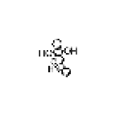 O=C1Nc2ccccc2C1=Cc1cc(O)c2c(c1O)CCCC2